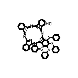 Cl.c1ccc(Sc2c(Sc3ccccc3)c(Sc3ccccc3)c3c4nc5nc(nc6[nH]c(nc7nc(nc([nH]4)c3c2Sc2ccccc2)-c2ccccc2-7)c2ccccc62)-c2ccccc2-5)cc1